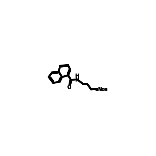 CCCCCCCCCCCCNC(=O)c1cccc2ccccc12